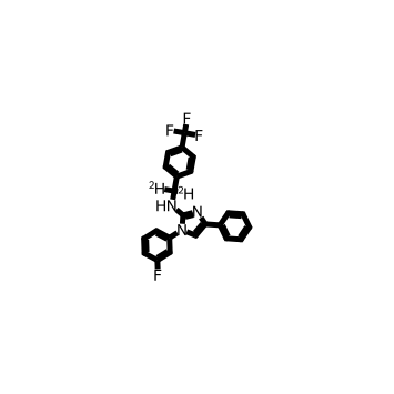 [2H]C([2H])(Nc1nc(-c2ccccc2)cn1-c1cccc(F)c1)c1ccc(C(F)(F)F)cc1